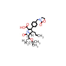 C=CCC1C(c2ccc(CN3CCOC3=O)cc2)=C(C(=O)O)N2C(=O)[C@H]([C@@H](C)O[Si](C)(C)C)[C@@H]12